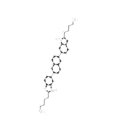 NCCCCc1cc2ccc(-c3ccc4cc(-c5ccc6nc(CCCCN)[nH]c6c5)ccc4c3)cc2[nH]1